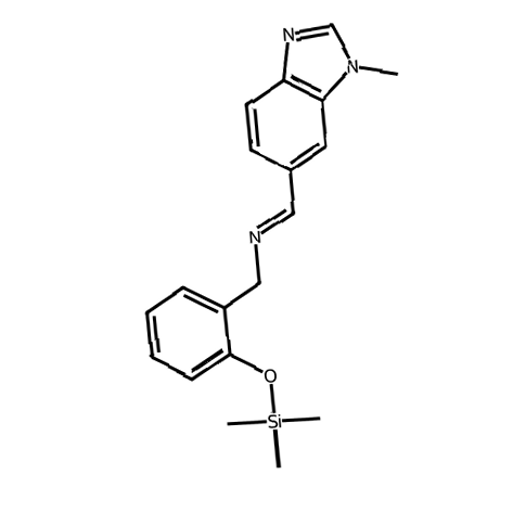 Cn1cnc2ccc(C=NCc3ccccc3O[Si](C)(C)C)cc21